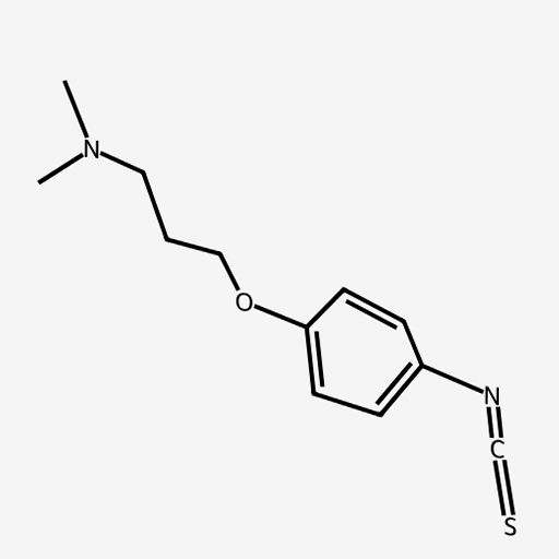 CN(C)CCCOc1ccc(N=C=S)cc1